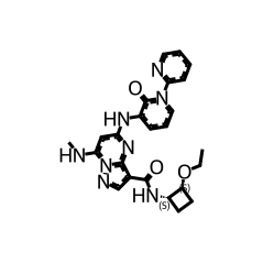 CCO[C@H]1CC[C@@H]1NC(=O)c1cnn2c(NC)cc(Nc3cccn(-c4ccccn4)c3=O)nc12